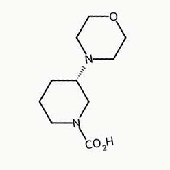 O=C(O)N1CCC[C@H](N2CCOCC2)C1